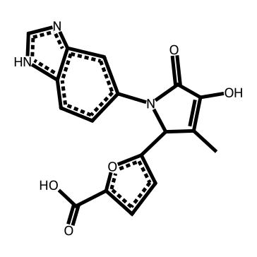 CC1=C(O)C(=O)N(c2ccc3[nH]cnc3c2)C1c1ccc(C(=O)O)o1